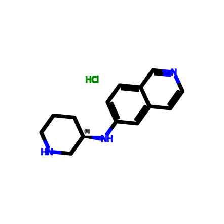 Cl.c1cc2cc(N[C@@H]3CCCNC3)ccc2cn1